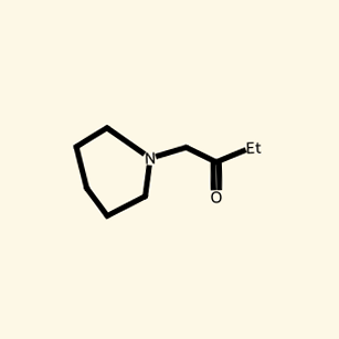 CCC(=O)CN1CCCCC1